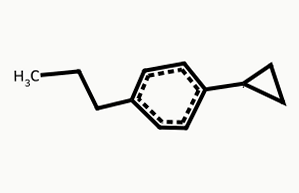 CCCc1ccc([C]2CC2)cc1